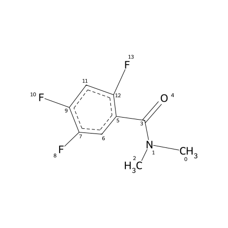 CN(C)C(=O)c1cc(F)c(F)cc1F